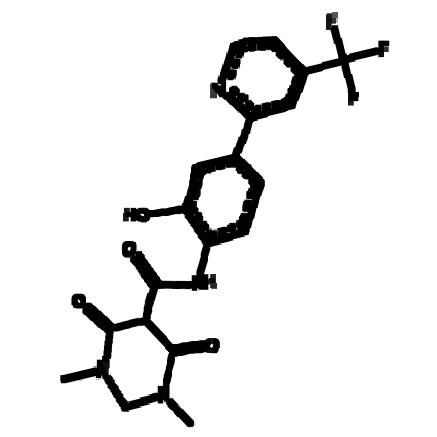 CN1CN(C)C(=O)C(C(=O)Nc2ccc(-c3cc(C(F)(F)F)ccn3)cc2O)C1=O